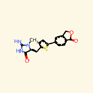 CN1C(=N)NC(=O)/C1=C/c1ccc(-c2ccc3c(c2)COC3=O)s1